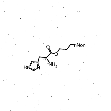 CCCCCCCCCCCCOC(=O)[C@@H](N)Cc1c[nH]cn1